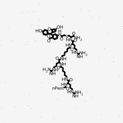 CCCCCC(=O)NC(CCCNC(=N)N)C(=O)NCCCCCC(=O)NC(CCCNC(=N)N)C(=O)NCCCCCC(=O)NC(CCCNC(=N)N)C(=O)NC(CSCC(=O)Nc1ccc2c(c1)C1(OC2=O)c2ccc(O)cc2Oc2cc(O)ccc21)C(N)=O